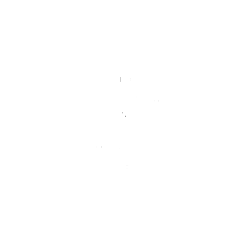 CCC(C(=O)F)N(C(=O)O)C(C)(C)C